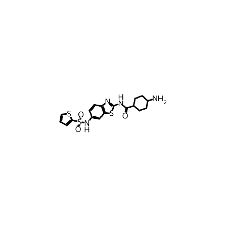 NC1CCC(C(=O)Nc2nc3ccc(NS(=O)(=O)c4cccs4)cc3s2)CC1